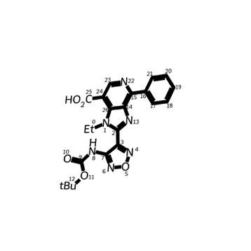 CCn1c(-c2nonc2NC(=O)OC(C)(C)C)nc2c(-c3ccccc3)ncc(C(=O)O)c21